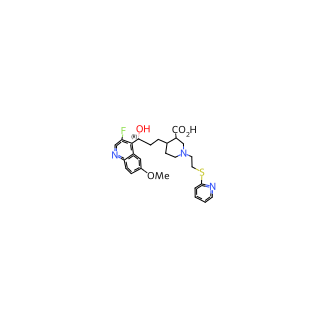 COc1ccc2ncc(F)c([C@H](O)CCC3CCN(CCSc4ccccn4)CC3C(=O)O)c2c1